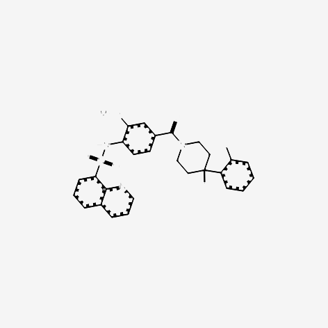 COc1cc(C(=O)N2CCC(O)(c3ccccc3Cl)CC2)ccc1NS(=O)(=O)c1cccc2cccnc12